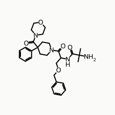 CC(C)(N)C(=O)NC(COCc1ccccc1)C(=O)N1CCC(C(=O)N2CCOCC2)(c2ccccc2)CC1